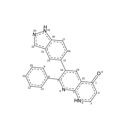 O=c1cc[nH]c2nc(-c3ccccc3)c(-c3ccc4[nH]ncc4c3)cc12